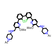 COc1nc(-c2cccc(-c3cccc(-c4ccc(CNC5CCN(C(C)=O)CC5)c(OC)n4)c3Cl)c2Cl)ccc1CNC1CCN(C(C)=O)CC1